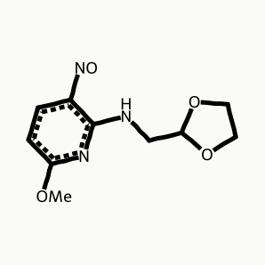 COc1ccc(N=O)c(NCC2OCCO2)n1